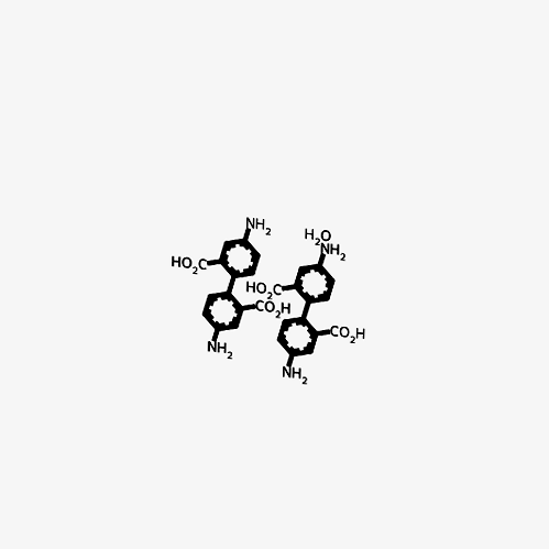 Nc1ccc(-c2ccc(N)cc2C(=O)O)c(C(=O)O)c1.Nc1ccc(-c2ccc(N)cc2C(=O)O)c(C(=O)O)c1.O